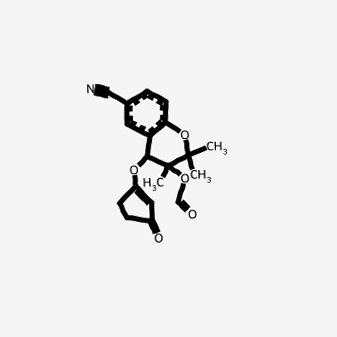 CC1(C)Oc2ccc(C#N)cc2C(OC2=CC(=O)CC2)C1(C)OC=O